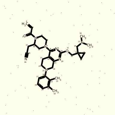 C=CC(=O)N1CCN(c2nc(OCC3(CN(C)C)CC3)nc3c2CCN(c2cccc(C)c2C)C3)CC1CC#N